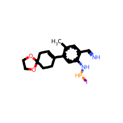 Cc1cc(C=N)c(NPI)cc1C1=CCC2(CC1)OCCO2